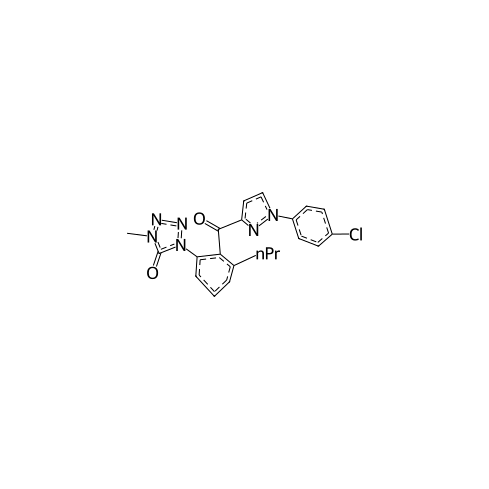 CCCc1cccc(-n2nnn(C)c2=O)c1C(=O)c1ccn(-c2ccc(Cl)cc2)n1